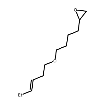 CC/C=C/CCOCCCCC1CO1